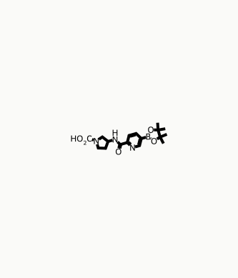 CC1(C)OB(c2ccc(C(=O)NC3CCN(C(=O)O)C3)nc2)OC1(C)C